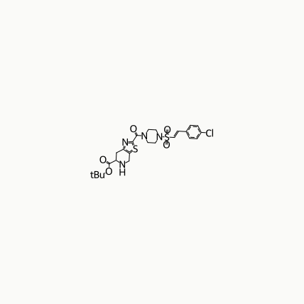 CC(C)(C)OC(=O)C1Cc2nc(C(=O)N3CCN(S(=O)(=O)C=Cc4ccc(Cl)cc4)CC3)sc2CN1